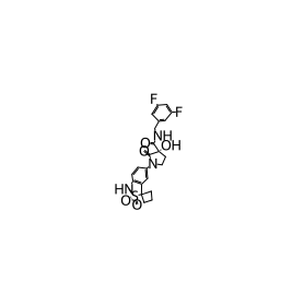 O=C(NCc1cc(F)cc(F)c1)[C@@]1(O)CCN(c2ccc3c(c2)C2(CCC2)S(=O)(=O)N3)C1=O